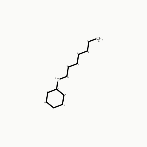 CCCCCCCOC1CC[CH]CC1